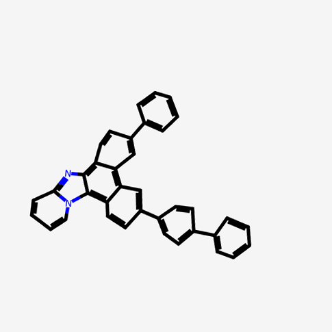 c1ccc(-c2ccc(-c3ccc4c(c3)c3cc(-c5ccccc5)ccc3c3nc5ccccn5c43)cc2)cc1